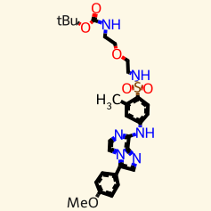 COc1ccc(-c2cnc3c(Nc4ccc(S(=O)(=O)NCCOCCNC(=O)OC(C)(C)C)c(C)c4)nccn23)cc1